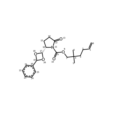 C=CCCC(C)(C)COC(=O)N1C(=O)CC[C@H]1C1OC(c2ccccc2)O1